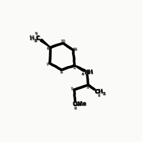 COCC(C)N[C@H]1CC[C@@H](C)CC1